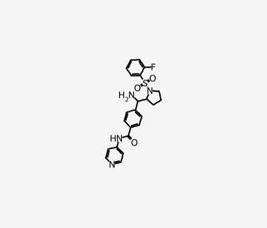 NC(c1ccc(C(=O)Nc2ccncc2)cc1)C1CCCN1S(=O)(=O)c1ccccc1F